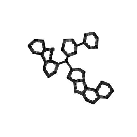 c1ccc(-c2cccc(N(c3ccc4c(c3)sc3ccc5ccccc5c34)c3cccc4c3oc3ccccc34)c2)cc1